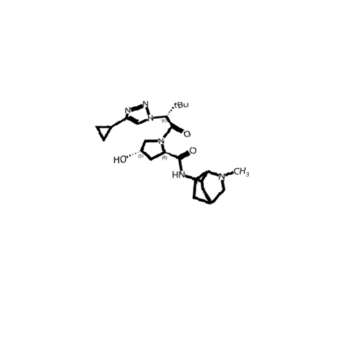 CN1CC2CCC1C(NC(=O)[C@H]1C[C@H](O)CN1C(=O)[C@H](n1cc(C3CC3)nn1)C(C)(C)C)C2